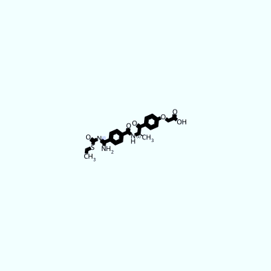 CCSC(=O)/N=C(\N)c1ccc(C(=O)N[C@@H](C)C(=O)c2ccc(OCC(=O)O)cc2)cc1